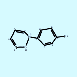 Fc1ccc(N2C=CC=NS2)cc1